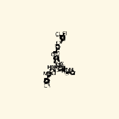 COC(=O)C(Cc1ccc(-c2ccc(C#N)cc2)cc1)NC(=O)C1Cc2cc3c(cc2CN1S(=O)(=O)c1sc(NC(=O)C2CCCC2)nc1C)OC(c1ccc(OCc2ccc(Cl)c(Cl)c2)cc1)CO3